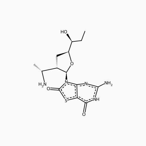 CC[C@H](O)[C@@H]1C[C@@H]([C@@H](C)N)[C@H](n2c(=O)sc3c(=O)[nH]c(N)nc32)O1